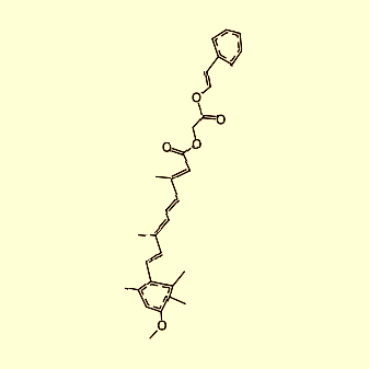 COc1cc(C)c(/C=C/C(C)=C/C=C/C(C)=C/C(=O)OCC(=O)O/C=C/c2ccccc2)c(C)c1C